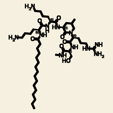 CCCCCCCCCCCCCCCC(=O)N[C@@H](CCCCN)C(=O)N[C@@H](CCCCN)C(=O)N[C@H]1CC(C)CN([C@@H](CCCNC(=N)N)C(=O)N[C@@H](CO)C(=O)NC)C1=O